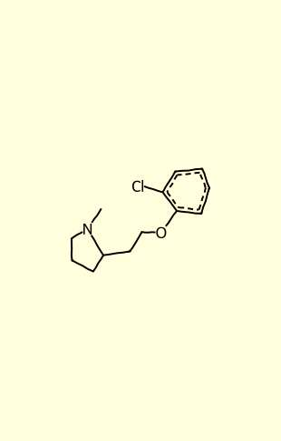 CN1CCCC1CCOc1ccccc1Cl